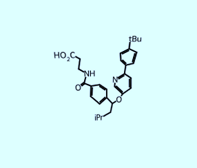 CC(C)CC(Oc1ccc(-c2ccc(C(C)(C)C)cc2)nc1)c1ccc(C(=O)NCCC(=O)O)cc1